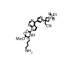 CCS(=O)(=O)N1CC(CC#N)(n2cc(-c3ncnc4c3ccn4C(=O)N[C@@H](CCCCN)C(=O)OC)cn2)C1